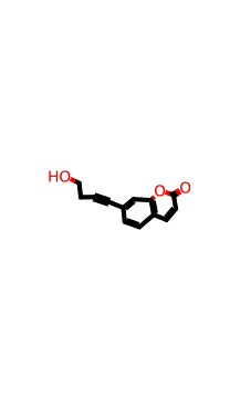 O=c1ccc2ccc(C#CCCO)cc2o1